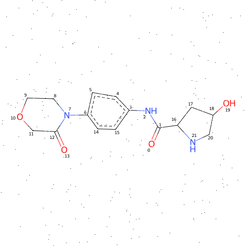 O=C(Nc1ccc(N2CCOCC2=O)cc1)C1CC(O)CN1